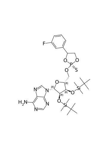 CC(C)(C)[Si](C)(C)O[C@@H]1[C@H](O[Si](C)(C)C(C)(C)C)[C@@H](COP2(=S)OCC(c3cccc(F)c3)O2)O[C@H]1n1cnc2c(N)ncnc21